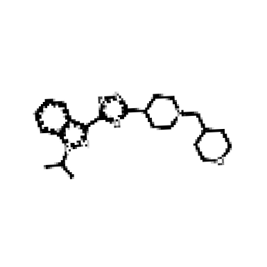 CC(C)n1nc(-c2nnc(C3CCN(CC4CCOCC4)CC3)o2)c2ccccc21